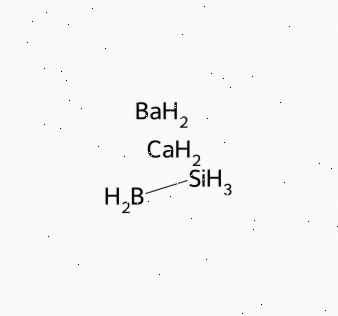 B[SiH3].[BaH2].[CaH2]